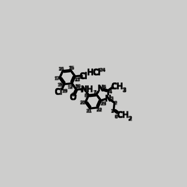 C=CCn1c(C)nc2c(NC(=O)c3c(Cl)cccc3Cl)cccc21.Cl